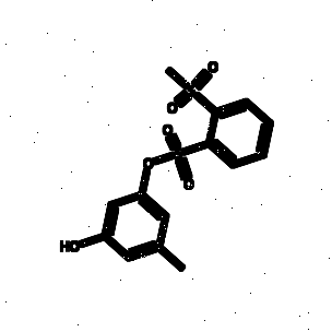 Cc1cc(O)cc(OS(=O)(=O)c2ccccc2S(C)(=O)=O)c1